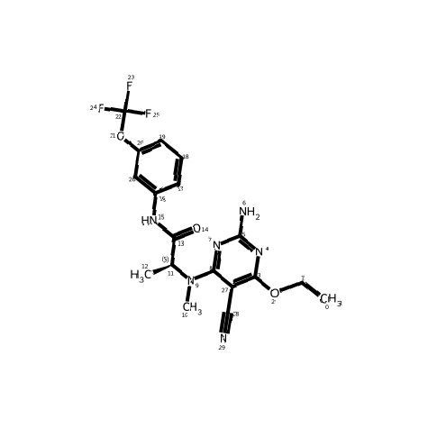 CCOc1nc(N)nc(N(C)[C@@H](C)C(=O)Nc2cccc(OC(F)(F)F)c2)c1C#N